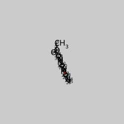 CCCCOC(=O)c1ccc(N=Nc2ccc(N=Nc3ccc(N4CCCC4)cc3)cc2)cc1